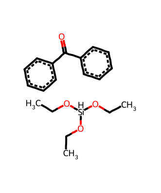 CCO[SiH](OCC)OCC.O=C(c1ccccc1)c1ccccc1